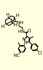 Cc1cc(C#N)ccc1-n1nc(C(=O)NCCNC2[C@H]3C[C@@H]4C[C@@H](C[C@H]2C4)C3)c(C)c1-c1ccc(Cl)cc1